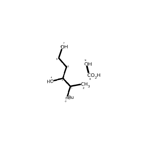 CCCCC(C)C(O)CCO.O=C(O)O